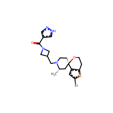 CCc1cc2c(s1)CCO[C@@]21CCN(CC2CN(C(=O)c3cn[nH]c3)C2)[C@@H](C)C1